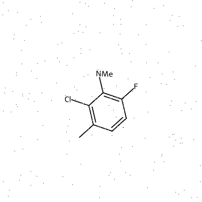 CNc1c(F)ccc(C)c1Cl